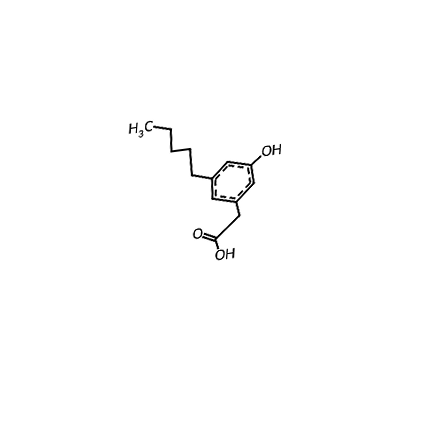 CCCCCc1cc(O)cc(CC(=O)O)c1